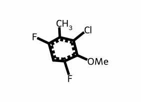 COc1c(F)cc(F)c(C)c1Cl